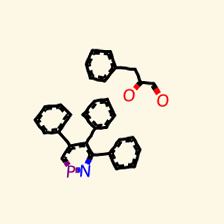 O=CC(=O)Cc1ccccc1.c1ccc(-c2cpnc(-c3ccccc3)c2-c2ccccc2)cc1